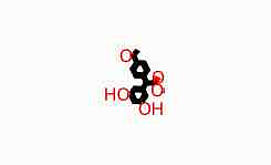 COC(=O)C(c1ccc(C(C)=O)cc1)c1cc(O)cc(O)c1